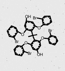 CC(C)(c1c(Oc2ccccc2Br)cc(O)cc1Oc1ccccc1Br)c1c(Oc2ccccc2Br)cc(O)cc1Oc1ccccc1Br